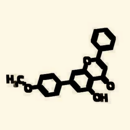 COc1ccc(-c2cc(O)c3c(=O)cc(-c4ccccc4)oc3c2)cc1